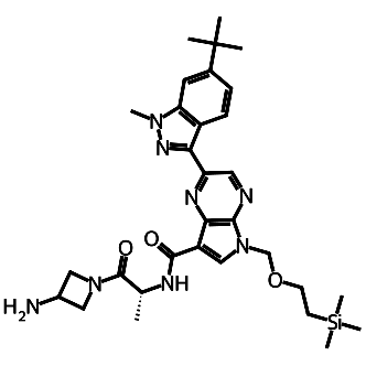 C[C@@H](NC(=O)c1cn(COCC[Si](C)(C)C)c2ncc(-c3nn(C)c4cc(C(C)(C)C)ccc34)nc12)C(=O)N1CC(N)C1